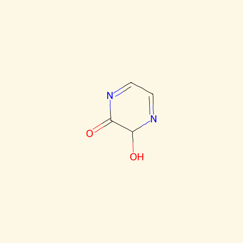 O=C1N=CC=NC1O